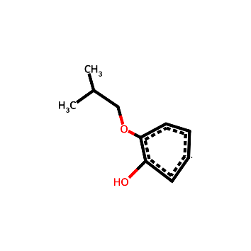 CC(C)COc1cc[c]cc1O